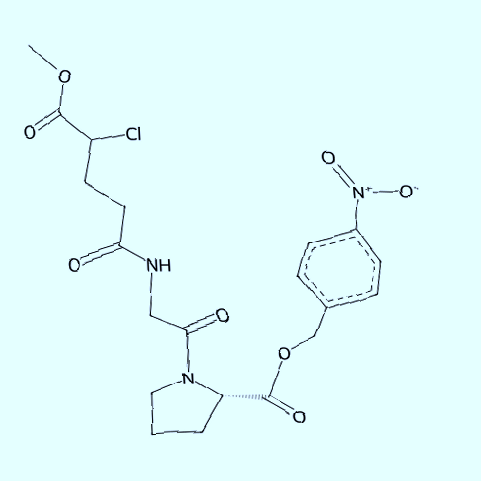 COC(=O)C(Cl)CCC(=O)NCC(=O)N1CCC[C@H]1C(=O)OCc1ccc([N+](=O)[O-])cc1